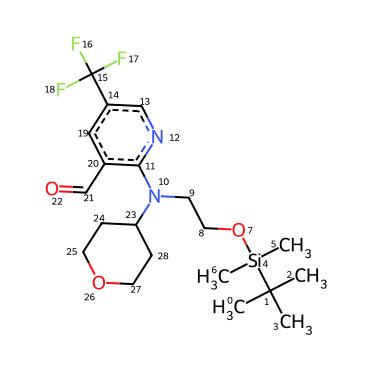 CC(C)(C)[Si](C)(C)OCCN(c1ncc(C(F)(F)F)cc1C=O)C1CCOCC1